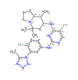 Cc1nnnn1-c1cc(Nc2ncc(F)c(NC3CC(C)(C)N4CCCC4C3C)n2)ccc1F